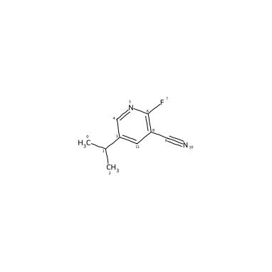 CC(C)c1cnc(F)c(C#N)c1